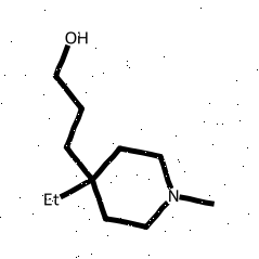 CCC1(CCCO)CCN(C)CC1